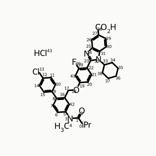 CC(C)C(=O)N(C)c1ccc(-c2ccc(Cl)cc2)c(COc2ccc(-c3nc4cc(C(=O)O)ccc4n3C3CCCCC3)c(F)c2)c1.Cl